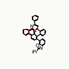 CC(C)c1nc2cccc(-c3ccc4ccccc4c3-c3ccccc3-c3cc(-c4ccccc4)nc(-c4ccccc4)n3)c2o1